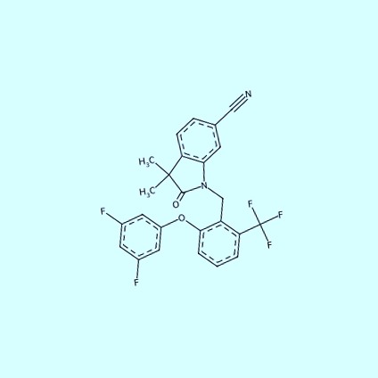 CC1(C)C(=O)N(Cc2c(Oc3cc(F)cc(F)c3)cccc2C(F)(F)F)c2cc(C#N)ccc21